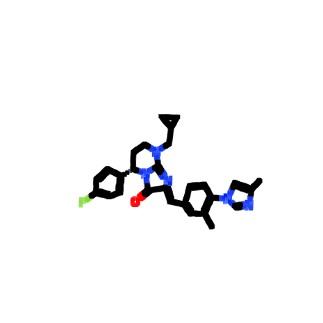 Cc1cn(-c2ccc(/C=C3\N=C4N(CC5CC5)CC[C@@H](c5ccc(F)cc5)N4C3=O)cc2C)cn1